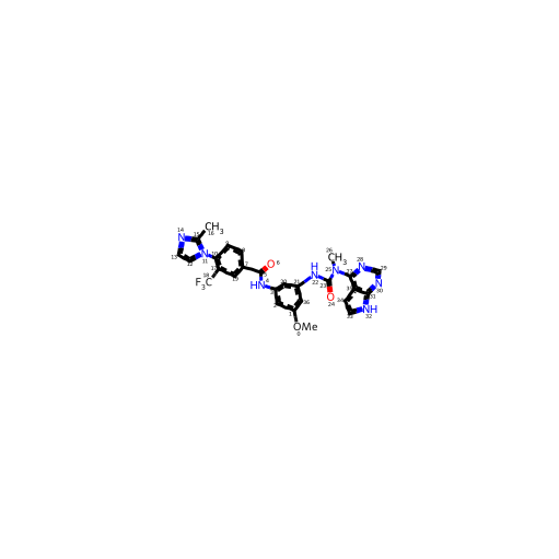 COc1cc(NC(=O)c2ccc(-n3ccnc3C)c(C(F)(F)F)c2)cc(NC(=O)N(C)c2ncnc3[nH]ccc23)c1